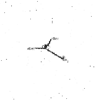 CCCCCCCCCCCCCCCCCCC(CCCCCCCCCCCCCCCCCC)(CCCCCCCCCCCCCCCC(N)=O)C(N)=O